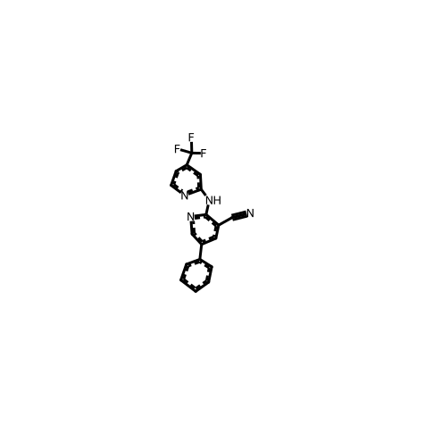 N#Cc1cc(-c2ccccc2)cnc1Nc1cc(C(F)(F)F)ccn1